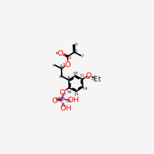 C=C(C)C(=O)OC(C)Cc1cc(OCC)ccc1OP(=O)(O)O